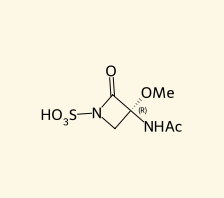 CO[C@]1(NC(C)=O)CN(S(=O)(=O)O)C1=O